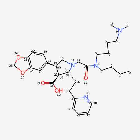 CCCCN(CCCCN(C)C)C(=O)CN1C[C@H](c2ccc3c(c2)OCO3)[C@H](C(=O)O)[C@H]1CCc1ccccn1